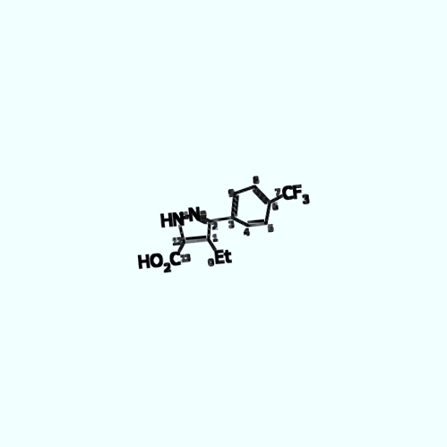 CCc1c(-c2ccc(C(F)(F)F)cc2)n[nH]c1C(=O)O